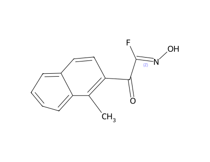 Cc1c(C(=O)/C(F)=N/O)ccc2ccccc12